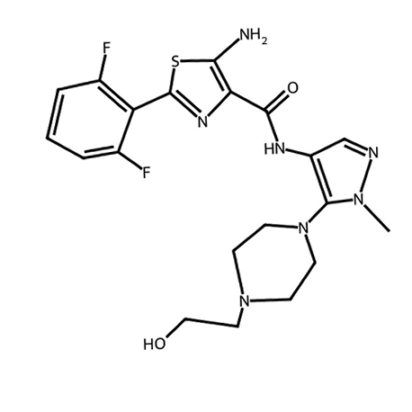 Cn1ncc(NC(=O)c2nc(-c3c(F)cccc3F)sc2N)c1N1CCN(CCO)CC1